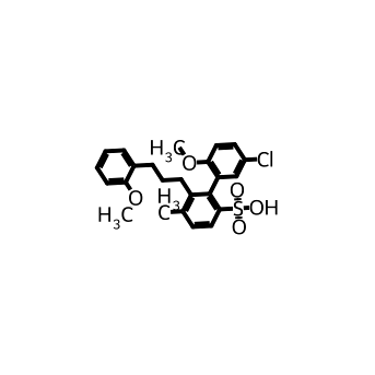 COc1ccccc1CCCc1c(C)ccc(S(=O)(=O)O)c1-c1cc(Cl)ccc1OC